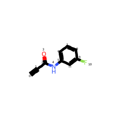 C#CC(=O)Nc1cccc(F)c1